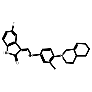 Cc1cc(NC=C2C(=O)Nc3ccc(F)cc32)ccc1N1CCC2CCCC=C2C1